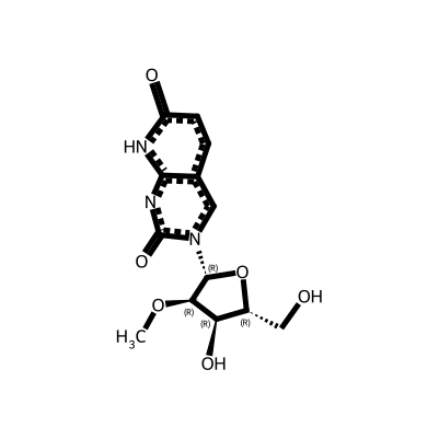 CO[C@@H]1[C@H](O)[C@@H](CO)O[C@H]1n1cc2ccc(=O)[nH]c2nc1=O